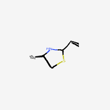 C=CC1NC(C(C)(C)C)CS1